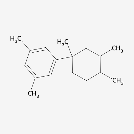 Cc1cc(C)cc(C2(C)CCC(C)C(C)C2)c1